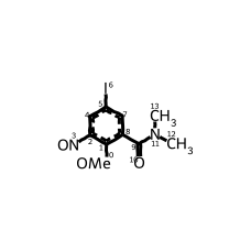 COc1c(N=O)cc(I)cc1C(=O)N(C)C